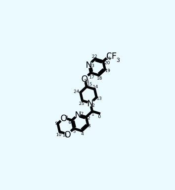 CC(c1ccc2c(n1)OCCO2)N1CCC(Oc2ccc(C(F)(F)F)cn2)CC1